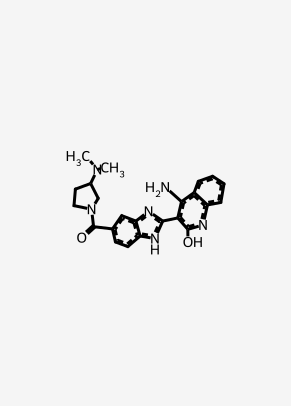 CN(C)C1CCN(C(=O)c2ccc3[nH]c(-c4c(O)nc5ccccc5c4N)nc3c2)C1